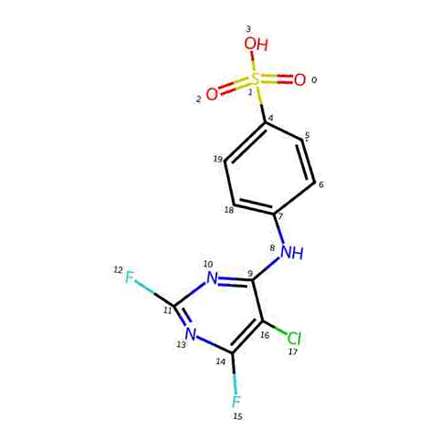 O=S(=O)(O)c1[c]cc(Nc2nc(F)nc(F)c2Cl)cc1